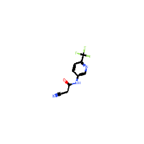 N#CCC(=O)Nc1ccc(C(F)(F)F)nc1